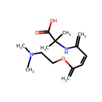 C=C(/C=C\C(=C)OCCN(C)C)NC(C)(C)C(=O)O